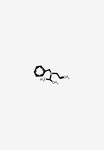 C=CCN(Cc1ccccc1)C(C)C